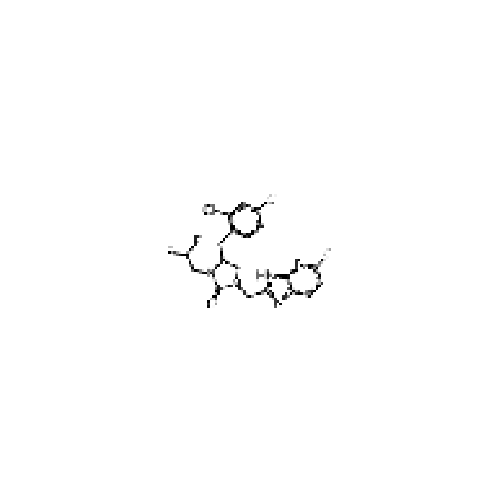 O=C1N(Cc2nc3ccc(Cl)nc3[nH]2)CC(Cc2ccc(Cl)cc2Cl)N1CC(F)F